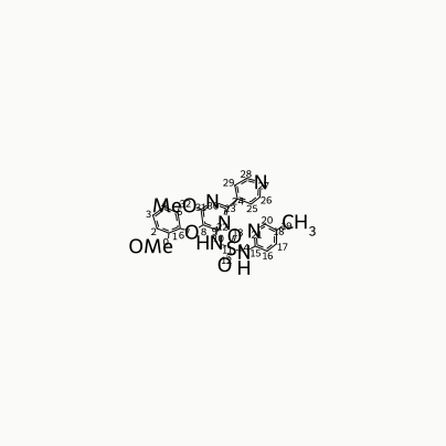 COc1ccccc1Oc1c(NS(=O)(=O)Nc2ccc(C)cn2)nc(-c2ccncc2)nc1OC